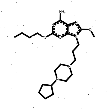 CCCCOc1nc(N)c2nc(OC)n(CCCN3CCN(C4CCCC4)CC3)c2n1